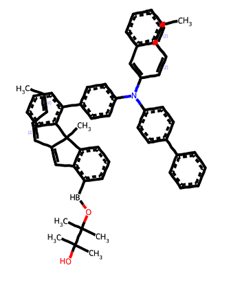 C/C=C\C=C/C(=Cc1ccccc1)N(c1ccc(-c2ccccc2)cc1)c1ccc(-c2ccccc2C2(C)C(/C=C\C=C/C)=Cc3c(BOC(C)(C)C(C)(C)O)cccc32)cc1